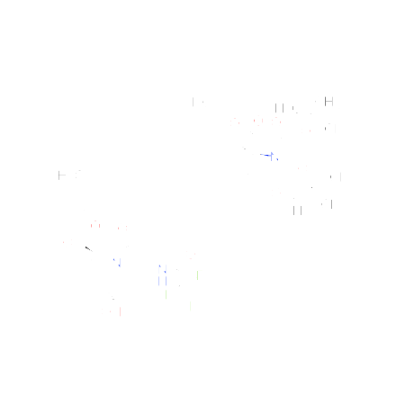 CCCOC(=O)[C@@H]1C[C@@H](O)CN1C(=O)[C@H](CCCCC/C=C\[C@@H]1C[C@@]1(C(=O)OCC)N(C(=O)OC(C)(C)C)C(=O)OC(C)(C)C)NC(=O)C(F)(F)F